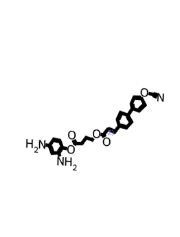 N#COc1ccc(-c2ccc(/C=C/C(=O)OCCCC(=O)Oc3ccc(N)cc3N)cc2)cc1